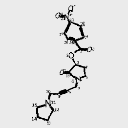 O=C(O[C@H]1CCN(CC#CCN2CCCC2)C1=O)c1ccc([N+](=O)[O-])cc1